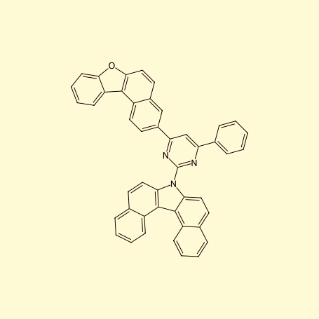 c1ccc(-c2cc(-c3ccc4c(ccc5oc6ccccc6c54)c3)nc(-n3c4ccc5ccccc5c4c4c5ccccc5ccc43)n2)cc1